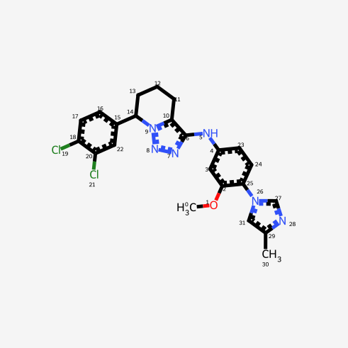 COc1cc(Nc2nnn3c2CCCC3c2ccc(Cl)c(Cl)c2)ccc1-n1cnc(C)c1